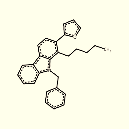 CCCCCc1c(-c2ccco2)ccc2c3ccccc3n(Cc3ccccc3)c12